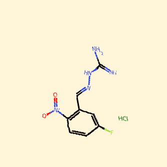 Cl.N=C(N)NN=Cc1cc(F)ccc1[N+](=O)[O-]